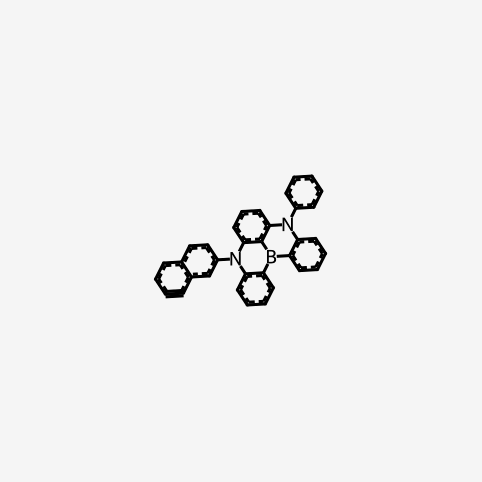 c1ccc2ccc(N3c4ccccc4B4c5ccccc5N(c5ccccc5)c5cccc3c54)cc2c#1